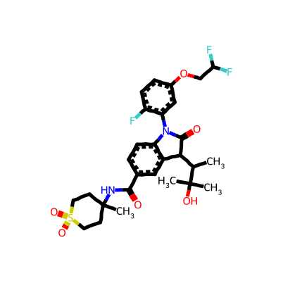 CC(C1C(=O)N(c2cc(OCC(F)F)ccc2F)c2ccc(C(=O)NC3(C)CCS(=O)(=O)CC3)cc21)C(C)(C)O